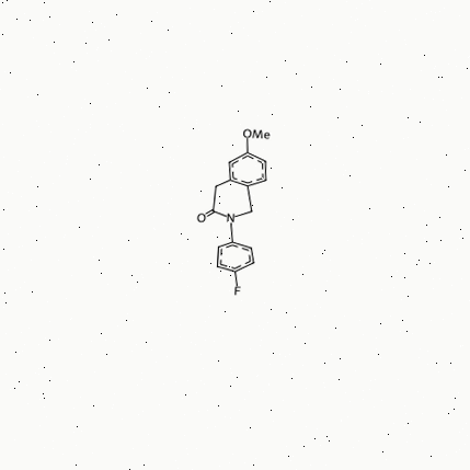 COc1ccc2c(c1)CC(=O)N(c1ccc(F)cc1)C2